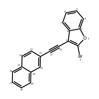 Brc1oc2ccccc2c1C#Cc1ccc2ccccc2c1